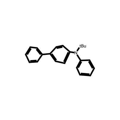 CC(C)(C)N(c1ccccc1)c1ccc(-c2ccccc2)cc1